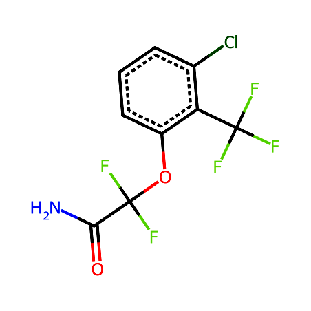 NC(=O)C(F)(F)Oc1cccc(Cl)c1C(F)(F)F